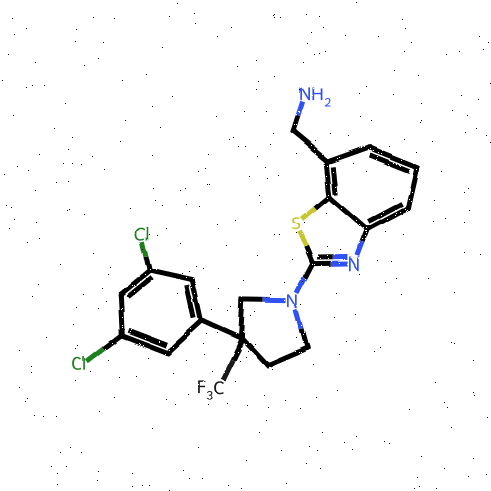 NCc1cccc2nc(N3CCC(c4cc(Cl)cc(Cl)c4)(C(F)(F)F)C3)sc12